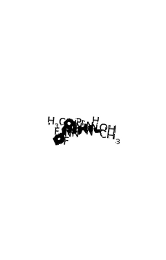 CC(C)C1(c2cncc(-c3cnc(NC[C@H](C)O)nc3)n2)CC[C@H](C)c2cc(-c3c(F)cccc3F)nnc21